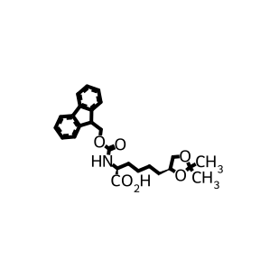 CC1(C)OC[C@H](CCCC[C@H](NC(=O)OCC2c3ccccc3-c3ccccc32)C(=O)O)O1